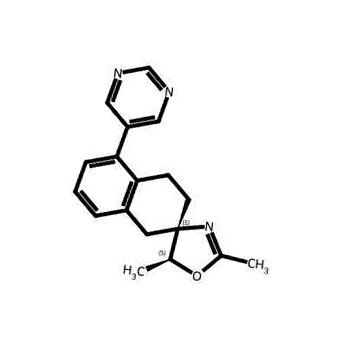 CC1=N[C@]2(CCc3c(cccc3-c3cncnc3)C2)[C@H](C)O1